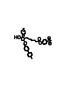 Cc1ccc(-c2ccc(CO[C@H]3C[C@@H](O)[C@H](N4CCSCC4)C3CCC=CCCC(=O)Oc3ccc(S(C)(=O)=O)cc3)cc2)cc1